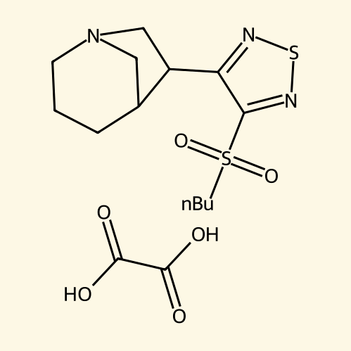 CCCCS(=O)(=O)c1nsnc1C1CN2CCCC1C2.O=C(O)C(=O)O